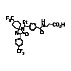 CCC(c1ccc(C(=O)NCCC(=O)O)cc1)N1C(=O)C(c2ccc(C(F)(F)F)cc2)=NC12CCC(C(F)(F)F)CC2